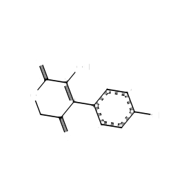 O=C1COC(=O)C(O)=C1c1ccc(Cl)cc1